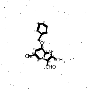 Cc1nc2c(OCc3ccccc3)cc(Cl)cn2c1C=O